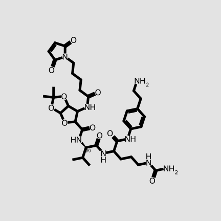 CC(C)[C@@H](NC(=O)C1OC2OC(C)(C)OC2C1NC(=O)CCCCN1C(=O)C=CC1=O)C(=O)NC(CCCNC(N)=O)C(=O)Nc1ccc(CCN)cc1